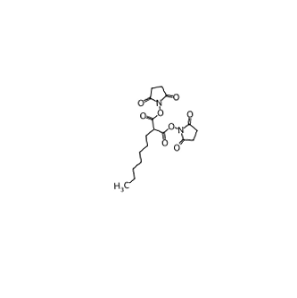 CCCCCCCC(C(=O)ON1C(=O)CCC1=O)C(=O)ON1C(=O)CCC1=O